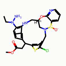 CCN(N)c1ccc2c(C)c1NC[C@@H]1CN(Cc3cc(sc3Cl)C2CC(=O)OC)[S+]([O-])c2cccnc2O1